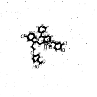 O=C(O)c1ccc(OCCc2c(CCNS(=O)(=O)Cc3ccc(Cl)c(Cl)c3)n(C(c3ccccc3)c3ccccc3)c3ccc(Cl)cc23)cc1